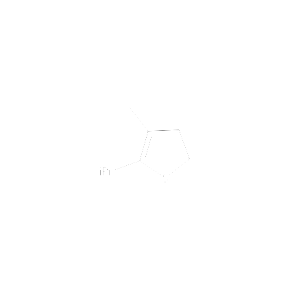 CC1=C(C(C)C)SCC1